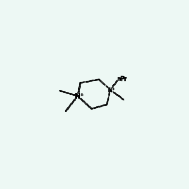 CCC[N+]1(C)CC[N+](C)(C)CC1